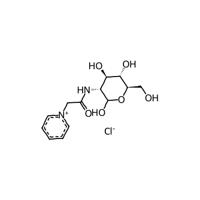 O=C(C[n+]1ccccc1)N[C@H]1C(O)O[C@H](CO)[C@@H](O)[C@@H]1O.[Cl-]